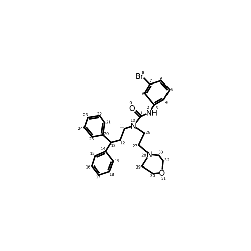 O=C(Nc1cccc(Br)c1)N(CCC(c1ccccc1)c1ccccc1)CCN1CCOCC1